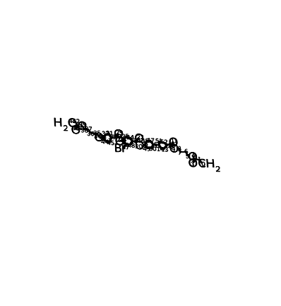 C=CC(=O)OCCCCOC(=O)c1ccc(-c2ccc(OC(=O)c3ccc(OC(=O)c4ccc(OCCCCOC(=O)C=C)cc4)c(Br)c3)cc2)cc1